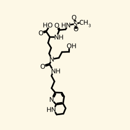 CS(=O)(=O)NCC(=O)NC(CCCN(CCCO)C(=O)NCCCc1ccc2c(n1)NCCC2)C(=O)O